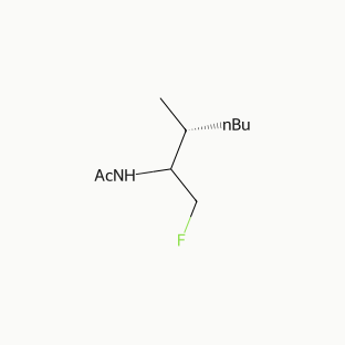 CCCC[C@@H](C)C(CF)NC(C)=O